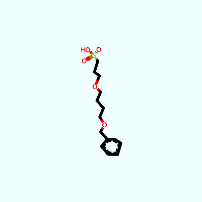 O=S(=O)(O)CCCOCCCCOCc1ccccc1